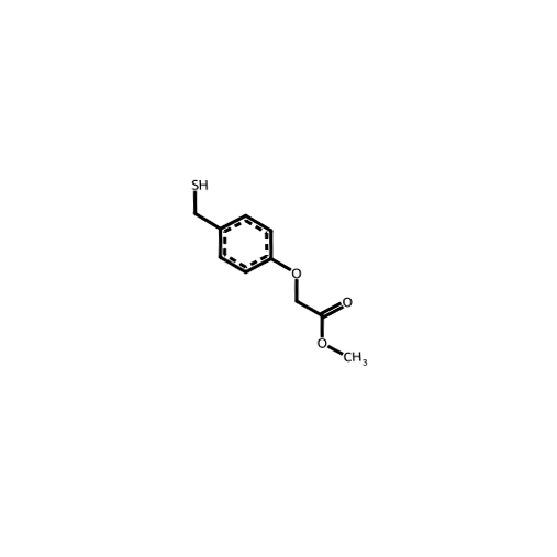 COC(=O)COc1ccc(CS)cc1